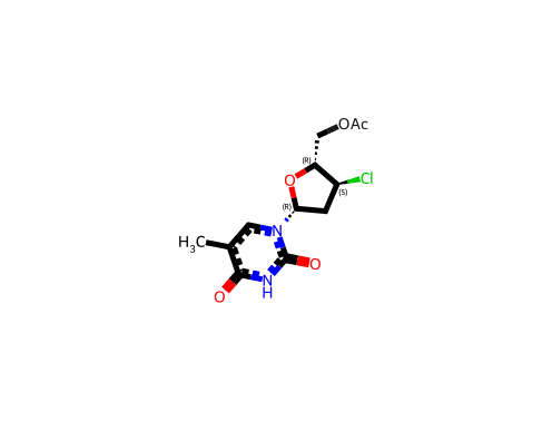 CC(=O)OC[C@H]1O[C@@H](n2cc(C)c(=O)[nH]c2=O)C[C@@H]1Cl